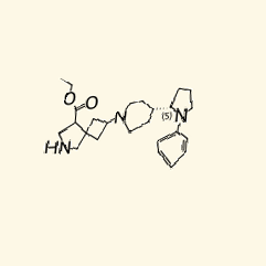 CCOC(=O)C1CNCC12CC(N1CCC([C@@H]3CCCN3c3ccccc3)CC1)C2